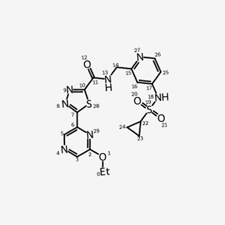 CCOc1cncc(-c2nnc(C(=O)NCc3cc(NS(=O)(=O)C4CC4)ccn3)s2)n1